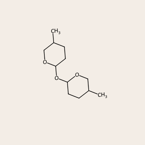 CC1CCC(OC2CCC(C)CO2)OC1